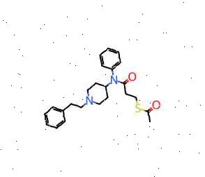 CC(=O)SCCC(=O)N(c1ccccc1)C1CCN(CCc2ccccc2)CC1